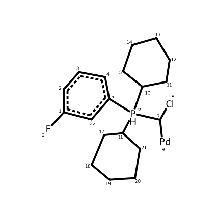 Fc1cccc([PH]([CH](Cl)[Pd])(C2CCCCC2)C2CCCCC2)c1